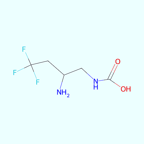 NC(CNC(=O)O)CC(F)(F)F